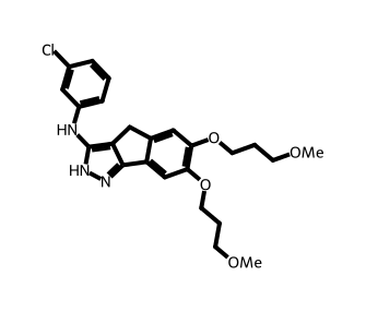 COCCCOc1cc2c(cc1OCCCOC)-c1n[nH]c(Nc3cccc(Cl)c3)c1C2